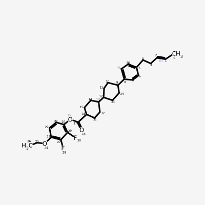 C/C=C/CCc1ccc(C2CCC(C3CCC(C(=O)Oc4ccc(OCC)c(F)c4F)CC3)CC2)cc1